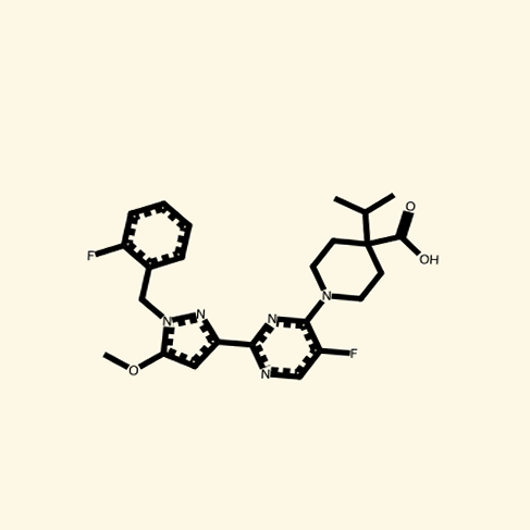 COc1cc(-c2ncc(F)c(N3CCC(C(=O)O)(C(C)C)CC3)n2)nn1Cc1ccccc1F